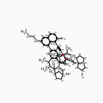 COCOc1cc(-c2nc3c4c(nc(OC[C@@]56CCCN5C[C@H](F)C6)nc4c2F)N2C[C@H]4CC[C@H](C4)[C@@H]2[C@@H](C)[C@H]3C)c2c(C#C[Si](C(C)C)(C(C)C)C(C)C)c(F)ccc2c1